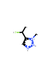 CC(F)c1cnnn1C